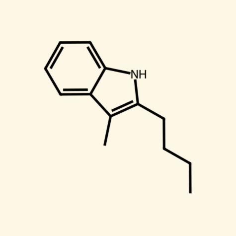 CCCCc1[nH]c2ccccc2c1C